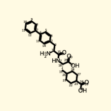 N[C@@H](Cc1ccc(-c2ccccc2)cc1)C(=O)N[C@@H](CC1CCC(C(=O)O)CC1)C(=O)O